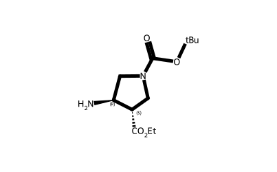 CCOC(=O)[C@H]1CN(C(=O)OC(C)(C)C)C[C@@H]1N